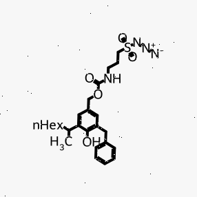 CCCCCCC(C)c1cc(COC(=O)NCCCS(=O)(=O)N=[N+]=[N-])cc(Cc2ccccc2)c1O